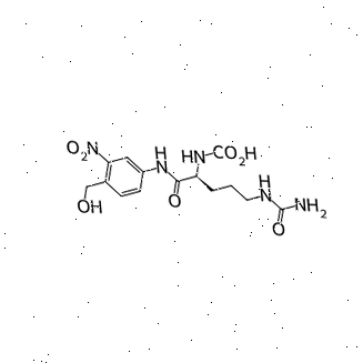 NC(=O)NCCC[C@H](NC(=O)O)C(=O)Nc1ccc(CO)c([N+](=O)[O-])c1